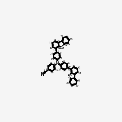 N#Cc1ccc(N(c2ccc(-c3cccc4c3sc3ccccc34)cc2)c2ccc(-c3cccc4c3sc3ccccc34)cc2)cc1